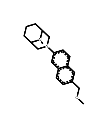 COCc1ccc2cc(N3CC4CCCC(C3)N4C)ccc2c1